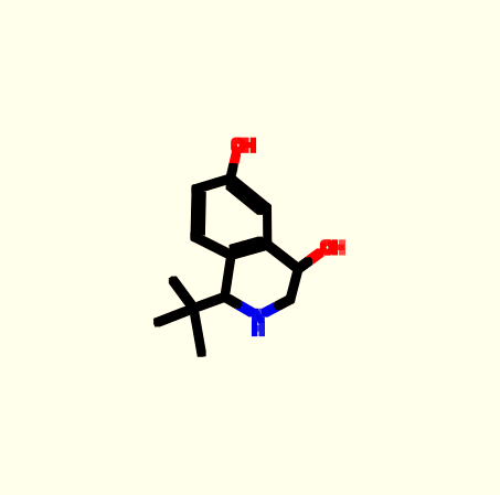 CC(C)(C)C1NCC(O)c2cc(O)ccc21